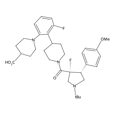 COc1ccc([C@@H]2CN(C(C)(C)C)C[C@@]2(F)C(=O)N2CCC(c3c(F)cccc3N3CCC(C(=O)O)CC3)CC2)cc1